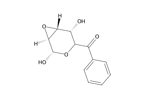 O=C(c1ccccc1)C1O[C@H](O)[C@H]2O[C@@H]2[C@@H]1O